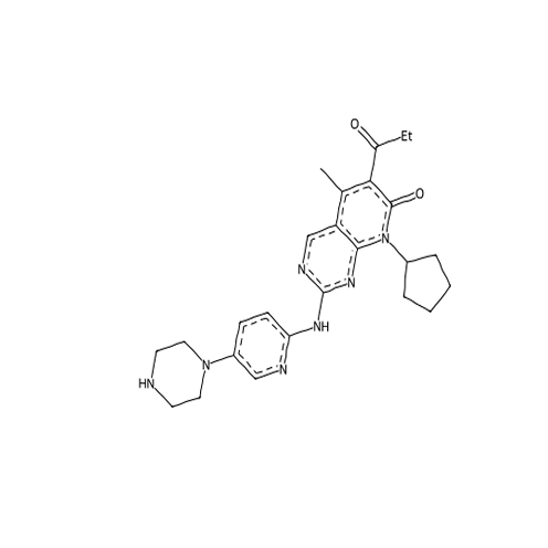 CCC(=O)c1c(C)c2cnc(Nc3ccc(N4CCNCC4)cn3)nc2n(C2CCCC2)c1=O